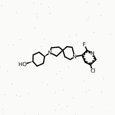 O[C@H]1CC[C@@H](N2CCC3(CCN(c4cc(Cl)cnc4F)CC3)C2)CC1